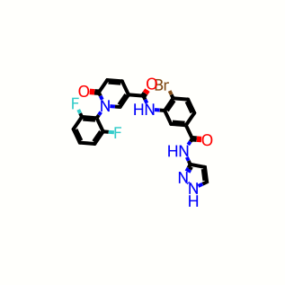 O=C(Nc1cc[nH]n1)c1ccc(Br)c(NC(=O)c2ccc(=O)n(-c3c(F)cccc3F)c2)c1